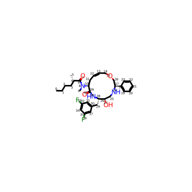 CCCC[C@H](C)C(=O)N(C)[C@H]1CC=CCOC[C@@H](c2ccccc2)NC[C@@H](O)[C@H](Cc2cc(F)cc(F)c2)NC1=O